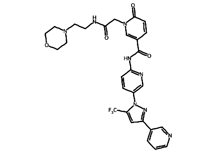 O=C(Cn1cc(C(=O)Nc2ccc(-n3nc(-c4cccnc4)cc3C(F)(F)F)cn2)ccc1=O)NCCN1CCOCC1